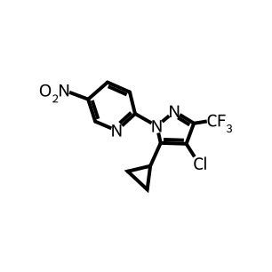 O=[N+]([O-])c1ccc(-n2nc(C(F)(F)F)c(Cl)c2C2CC2)nc1